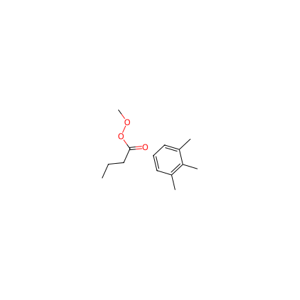 CCCC(=O)OOC.Cc1cccc(C)c1C